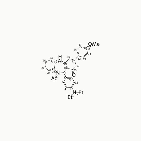 CCN(CC)c1ccc([C@@H]2C3=C(C[C@H](c4ccc(OC)cc4)CC3=O)Nc3ccccc3N2C(C)=O)cc1